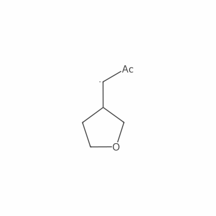 CC(=O)[CH]C1CCOC1